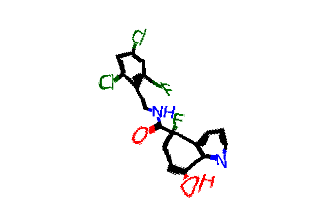 O=C(NCc1c(F)cc(Cl)cc1Cl)[C@@]1(F)CC[C@@H](O)c2ncccc21